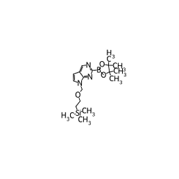 CC1(C)OB(c2ncc3ccn(COCC[Si](C)(C)C)c3n2)OC1(C)C